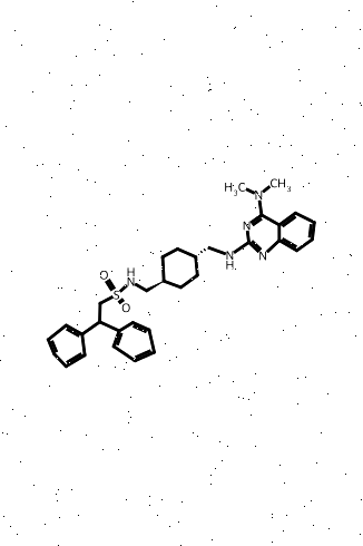 CN(C)c1nc(NC[C@H]2CC[C@H](CNS(=O)(=O)CC(c3ccccc3)c3ccccc3)CC2)nc2ccccc12